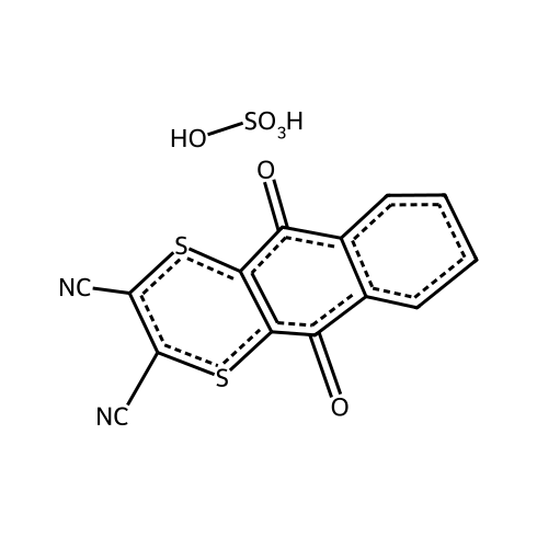 N#Cc1sc2c(=O)c3ccccc3c(=O)c=2sc1C#N.O=S(=O)(O)O